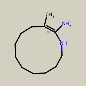 C/C1=C(\N)NCCCCCCCCC1